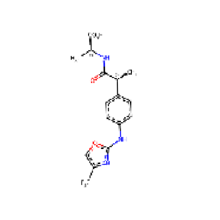 C[C@H](NC(=O)[C@@H](C)c1ccc(Nc2nc(C(F)(F)F)co2)cc1)C(=O)O